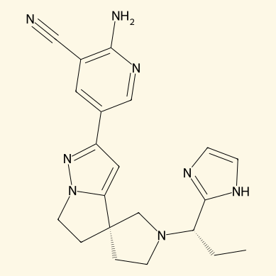 CC[C@@H](c1ncc[nH]1)N1CC[C@@]2(CCn3nc(-c4cnc(N)c(C#N)c4)cc32)C1